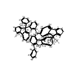 CC1(C)c2ccccc2-c2ccc(N(c3cccc(C4(c5ccccc5)c5ccccc5-c5ccccc54)c3)c3ccc(-c4ccccc4)c4oc5ccccc5c34)cc21